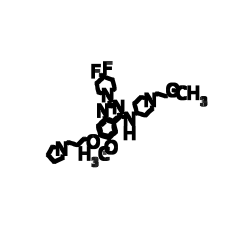 COCCN1CCC(Nc2nc(N3CCC(F)(F)CC3)nc3cc(OCCCN4CCCC4)c(OC)cc23)CC1